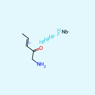 C/C=C/C(=O)CN.F.F.F.F.[Nb]